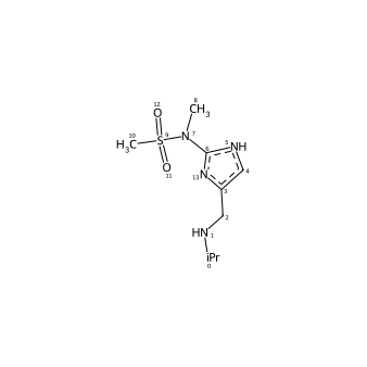 CC(C)NCc1c[nH]c(N(C)S(C)(=O)=O)n1